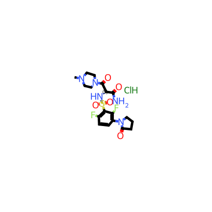 CN1CCN(C(=O)[C@@H](NS(=O)(=O)c2c(F)ccc(N3CCCC3=O)c2F)C(N)=O)CC1.Cl